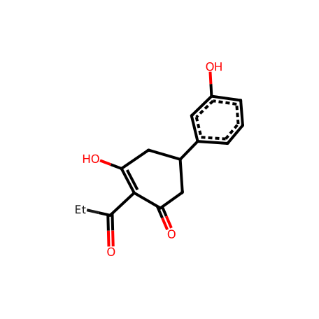 CCC(=O)C1=C(O)CC(c2cccc(O)c2)CC1=O